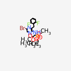 CCOP(=O)(OCC)C(Nc1ncc(Br)nc1Cc1c(F)cccc1F)C(=O)OC(C)(C)C